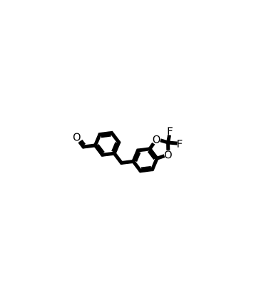 O=Cc1cccc(Cc2ccc3c(c2)OC(F)(F)O3)c1